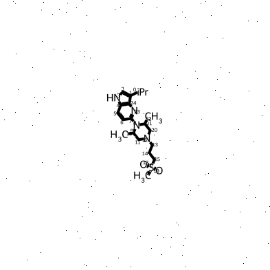 CC(C)c1c[nH]c2ccc(N3C(C)CN(CCCS(C)(=O)=O)CC3C)nc12